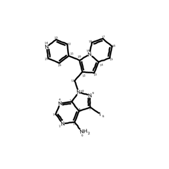 Nc1ncnc2c1c(I)nn2Cc1cc2ccccn2c1-c1ccncc1